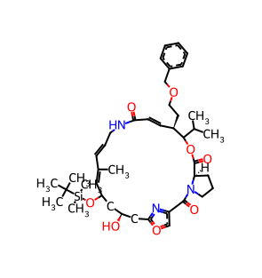 CC1=C\C(O[Si](C)(C)C(C)(C)C)C[C@H](O)Cc2nc(co2)C(=O)N2CCC[C@@H]2C(=O)OC(C(C)C)[C@H](CCOCc2ccccc2)/C=C/C(=O)NC\C=C\1